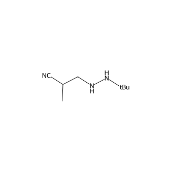 CC(C#N)CNNC(C)(C)C